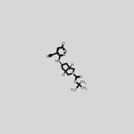 CC(C)(C)OC(=O)N1C[C@H]2C[C@H](Nc3nnc(Cl)cc3C#N)C[C@H]2C1